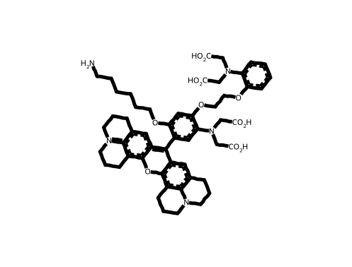 NCCCCCCOc1cc(OCCOc2ccccc2N(CC(=O)O)CC(=O)O)c(N(CC(=O)O)CC(=O)O)cc1C1=c2cc3c4c(c2Oc2c1cc1c5c2CCCN5CCC1)CCC[N+]=4CCC3